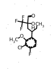 CCC(CC(O)(C=O)C(F)(F)F)c1ccc(F)c(Cl)c1OC